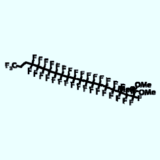 CO[Si](OC)(OC)C(F)(F)C(F)(F)C(F)(F)C(F)(F)C(F)(F)C(F)(F)C(F)(F)C(F)(F)C(F)(F)C(F)(F)C(F)(F)C(F)(F)C(F)(F)C(F)(F)C(F)(F)C(F)(F)C(F)(F)CCC(F)(F)F